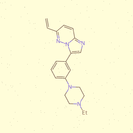 C=Cc1ccc2ncc(-c3cccc(N4CCN(CC)CC4)c3)n2n1